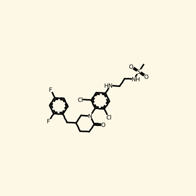 CS(=O)(=O)NCCNc1cc(Cl)c(N2CC(Cc3ccc(F)cc3F)CCC2=O)c(Cl)c1